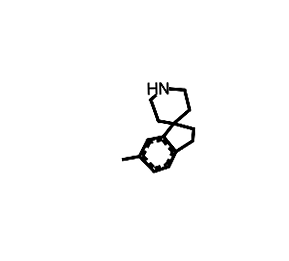 Cc1ccc2c(c1)C1(CCNCC1)CC2